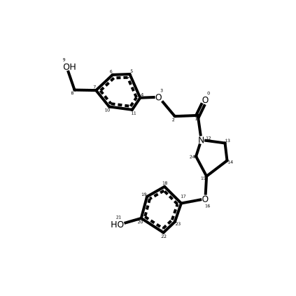 O=C(COc1ccc(CO)cc1)N1CCC(Oc2ccc(O)cc2)C1